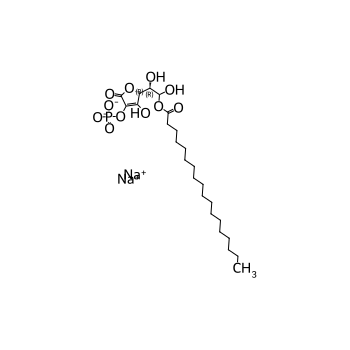 CCCCCCCCCCCCCCCCCC(=O)OC(O)[C@H](O)[C@H]1OC(=O)C(OP(=O)([O-])[O-])=C1O.[Na+].[Na+]